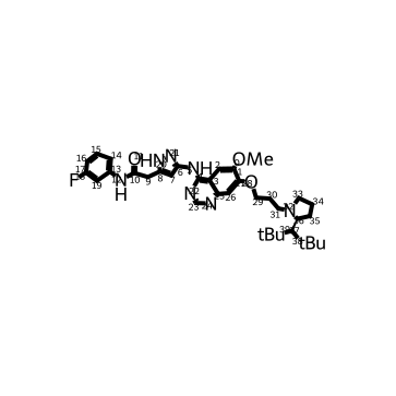 COc1cc2c(Nc3cc(CC(=O)Nc4cccc(F)c4)[nH]n3)ncnc2cc1OCCCN1CCC[C@H]1C(C(C)(C)C)C(C)(C)C